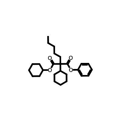 CCCCCC(C(=O)Oc1ccccc1)(C(=O)OC1CCCCC1)C1CCCCC1